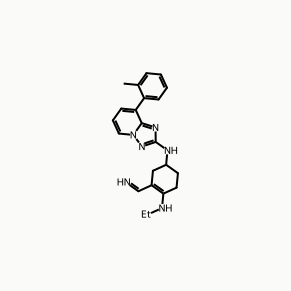 CCNC1=C(C=N)CC(Nc2nc3c(-c4ccccc4C)cccn3n2)CC1